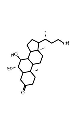 CC[C@H]1C2CC(=O)CC[C@]2(C)C2CC[C@@]3(C)C(CCC3[C@H](C)CCC#N)C2[C@@H]1O